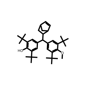 COc1c(C(C)(C)C)cc(C(c2cc(C(C)(C)C)c(O)c(C(C)(C)C)c2)C2CC3C=CC2C3)cc1C(C)(C)C